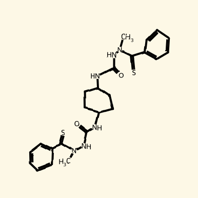 CN(NC(=O)NC1CCC(NC(=O)NN(C)C(=S)c2ccccc2)CC1)C(=S)c1ccccc1